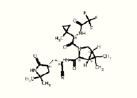 CC1(C)C[C@@H](C[C@@H](C#N)NC(=O)[C@@H]2[C@@H]3[C@H](CN2C(=O)[C@@H](NC(=O)C(F)(F)F)C2(C)CC2)C3(C)C)C(=O)N1